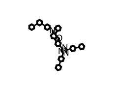 c1ccc(-c2ccc(-c3nc(-c4ccc(-c5ccccc5)cc4)nc(-c4ccc5c(c4)oc4c5ccc5c4c4ccccc4n5-c4ccc(-c5cccc(-c6ccccc6)c5)cc4)n3)cc2)cc1